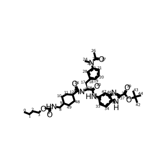 CCCCOC(=O)NCC1CCC(C(=O)N[C@@H](Cc2cccc(N(C)C(C)=O)c2)C(=O)Nc2ccc3[nH]c(C(=O)OC(C)(C)C)nc3c2)CC1